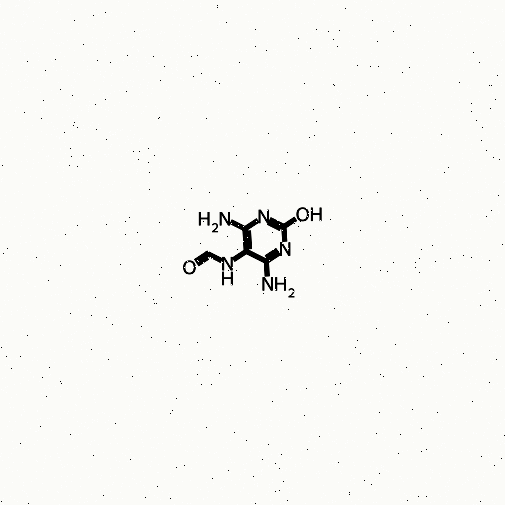 Nc1nc(O)nc(N)c1NC=O